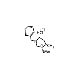 CN[C@@H]1CN(Cc2ccccc2)CCC1C.Cl.Cl